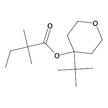 CCC(C)(C)C(=O)OC1(C(C)(C)C)CCOCC1